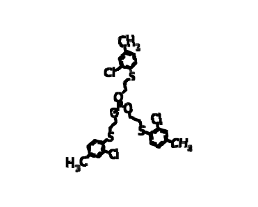 Cc1ccc(SCCOP(OCCSc2ccc(C)cc2Cl)OCCSc2ccc(C)cc2Cl)c(Cl)c1